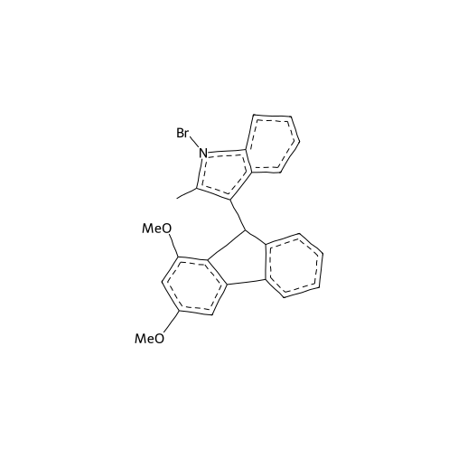 COc1cc(OC)c2c(c1)-c1ccccc1C2c1c(C)n(Br)c2ccccc12